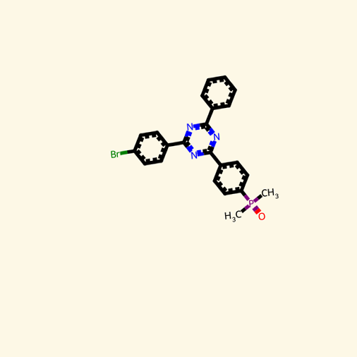 CP(C)(=O)c1ccc(-c2nc(-c3ccccc3)nc(-c3ccc(Br)cc3)n2)cc1